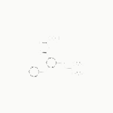 COC(COc1cc(Cc2ccccc2)cc(C(=O)CC(=O)C(=O)O)c1)SC